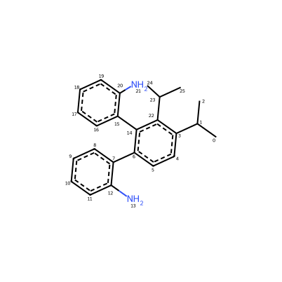 CC(C)c1ccc(-c2ccccc2N)c(-c2ccccc2N)c1C(C)C